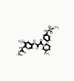 Cc1cc(NC(=O)C(=O)N2C[C@H](C)CC[C@H]2c2ccc(NS(C)(=O)=O)cc2)cnc1NC(=O)OC(C)(C)C